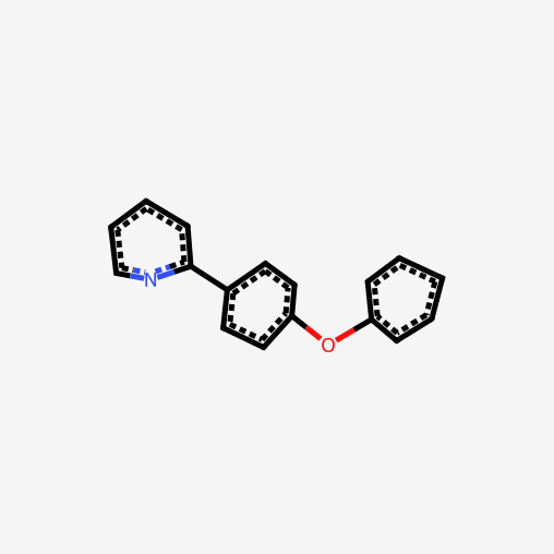 c1ccc(Oc2ccc(-c3ccccn3)cc2)cc1